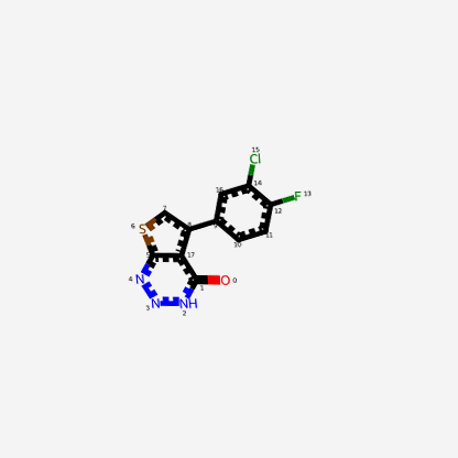 O=c1[nH]nnc2scc(-c3ccc(F)c(Cl)c3)c12